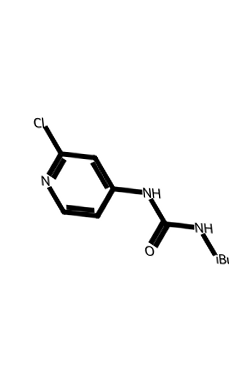 CCC(C)NC(=O)Nc1ccnc(Cl)c1